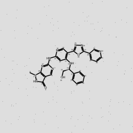 Cn1[nH]c(=O)c2cnc(Nc3cc(N[C@H](CO)c4ccccc4)c(-c4nnc(-c5cccnc5)o4)cn3)nc21